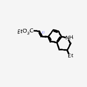 CCOC(=O)/C=C/c1ccc2c(c1)CC(CC)CN2